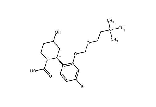 C[Si](C)(C)CCOCOc1cc(Br)ccc1[C@@H]1CC(O)CCN1C(=O)O